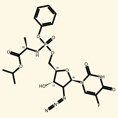 CC(C)OC(=O)[C@@H](C)NP(=O)(OC[C@H]1O[C@@H](n2cc(F)c(=O)[nH]c2=O)C(N=[N+]=[N-])[C@@H]1O)Oc1ccccc1